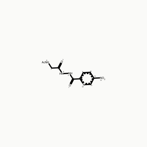 CC(=O)NCC(=O)NNC(=O)c1ccc([N+](=O)[O-])cn1